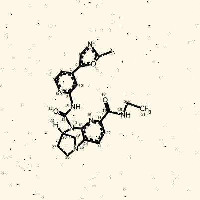 Cc1ncc(-c2ccnc(NC(=O)N3c4nc(C(=O)NCC(F)(F)F)ccc4N4CC[C@H]3C4)c2)o1